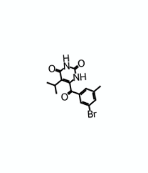 Cc1cc(Br)cc(C(=O)c2[nH]c(=O)[nH]c(=O)c2C(C)C)c1